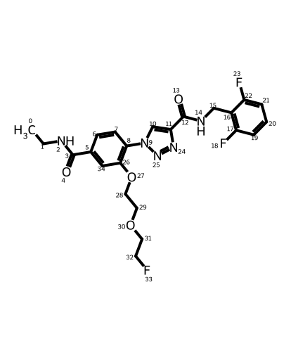 CCNC(=O)c1ccc(-n2cc(C(=O)NCc3c(F)cccc3F)nn2)c(OCCOCCF)c1